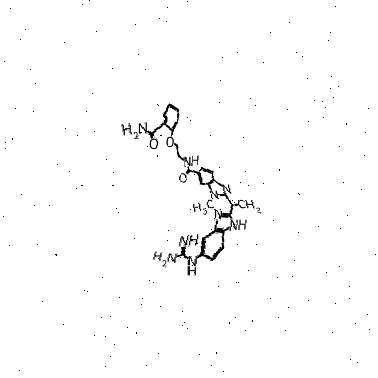 CC(c1nc2cc(NC(=N)N)ccc2[nH]1)c1nc2ccc(C(=O)NCCOc3ccccc3C(N)=O)cc2n1C